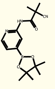 CC(C)(C#N)C(=O)Nc1cc(B2OC(C)(C)C(C)(C)O2)ccn1